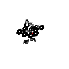 CCCCC1(CCCC)c2ccccc2-c2ccc(-c3cc(C)ccc3[O][Ti]([CH3])([CH3])(=[SiH2])[C]3=C(C)C(N4CCCC4)c4ccccc43)cc21.Cl.Cl